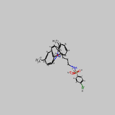 CC[C@@]1(CCCCNS(=O)(=O)c2ccc(Br)cc2)Nc2cc(C)cc3c2Cc2ccccc2C1=C3